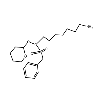 NCCCCCCCN(OC1CCCCO1)S(=O)(=O)Cc1ccccc1